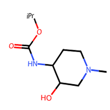 CC(C)OC(=O)NC1CCN(C)CC1O